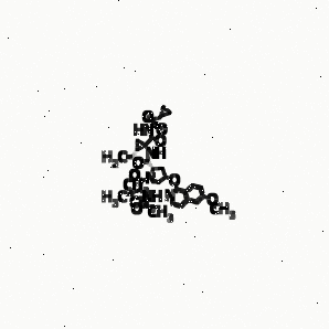 C=C[C@@H]1CC1(NC(=O)[C@@H]1CC(Oc2nccc3cc(OC)ccc23)CN1C(=O)[C@@H](NC(C)=O)C(C)(C)C)C(=O)NS(=O)(=O)C1CC1